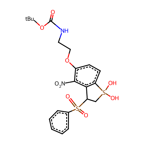 CC(C)(C)OC(=O)NCCOc1ccc2c(c1[N+](=O)[O-])C(S(=O)(=O)c1ccccc1)CS2(O)O